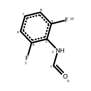 O=[C]Nc1c(F)cccc1F